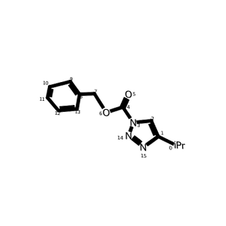 CC(C)c1cn(C(=O)OCc2ccccc2)nn1